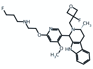 COc1cc(OCCNCCCF)ncc1C1c2[nH]c3ccccc3c2C[C@@H](C)N1CC1(F)COC1